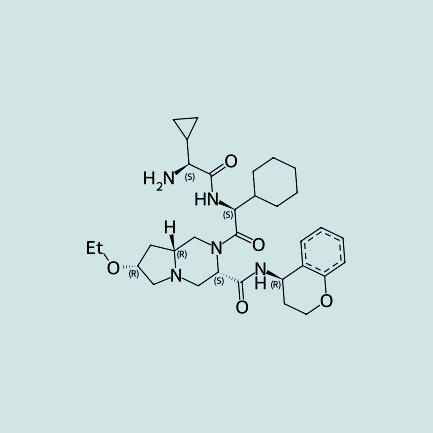 CCO[C@@H]1C[C@@H]2CN(C(=O)[C@@H](NC(=O)[C@@H](N)C3CC3)C3CCCCC3)[C@H](C(=O)N[C@@H]3CCOc4ccccc43)CN2C1